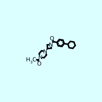 CC(=O)N1CCN(C2CN(C(=O)c3ccc(C4CCCCC4)cc3)C2)CC1